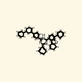 C1=CCC=C(C2=NC(c3ccc(-c4ccccc4)c4oc5c(c34)C=CCC5)NC(c3ccc(C4=CCCC(C5C=CC=CC5)C4)cc3)=N2)C=C1